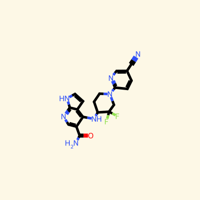 N#Cc1ccc(N2CCC(Nc3c(C(N)=O)cnc4[nH]ccc34)C(F)(F)C2)nc1